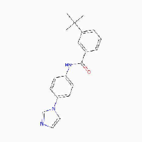 CC(C)(C)c1cccc(C(=O)Nc2ccc(-n3ccnc3)cc2)c1